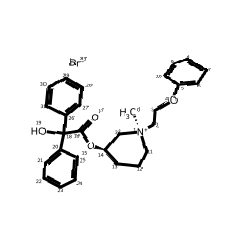 C[N@+]1(CCOc2ccccc2)CCC[C@@H](OC(=O)C(O)(c2ccccc2)c2ccccc2)C1.[Br-]